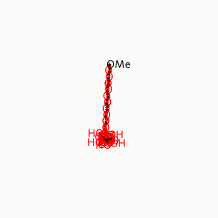 COCCOCCOCCOCCOCCOCCOCCOCCOCCOCCOCCOC1C(OO)[C@H](OP(=O)(O)O)[C@H](OO)C(OP(=O)(O)O)[C@@H]1OP(=O)(O)O